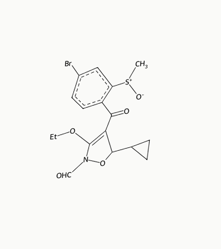 CCOC1=C(C(=O)c2ccc(Br)cc2[S+](C)[O-])C(C2CC2)ON1C=O